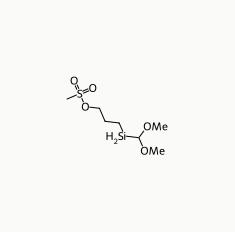 COC(OC)[SiH2]CCCOS(C)(=O)=O